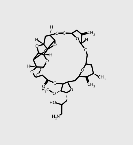 C=C1C2CC3O[C@H](CC(O)CN)[C@H](OC)C3CC(=O)CC3CCC4O[C@@H]5C6O[C@@H]7C[C@@H](CCC8CC(=C)[C@H](CCC(C[C@H]1C)O2)O8)C(OC6[C@H]4O3)OC57